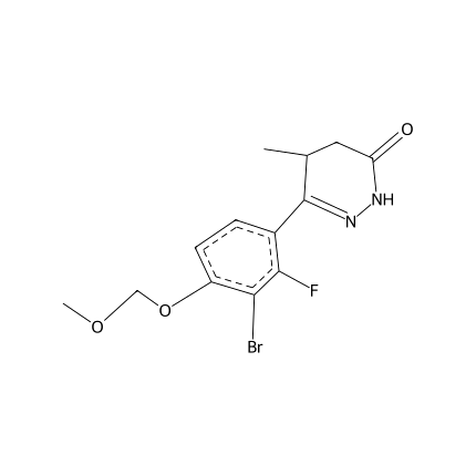 COCOc1ccc(C2=NNC(=O)CC2C)c(F)c1Br